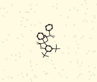 C=C(CC1(c2ccccc2)C(=O)Oc2c(C(C)(C)C)cc(C(C)(C)C)cc21)[S+]([O-])c1ccccc1